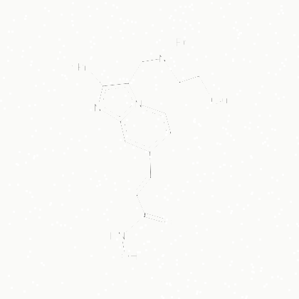 CCCc1nc2cc(C=CC(=O)NO)ccn2c1CN(CC)CCC(C)(C)C